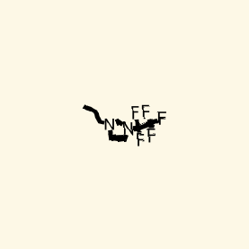 CCC[n+]1ccn(C(F)(F)C(F)(F)F)c1